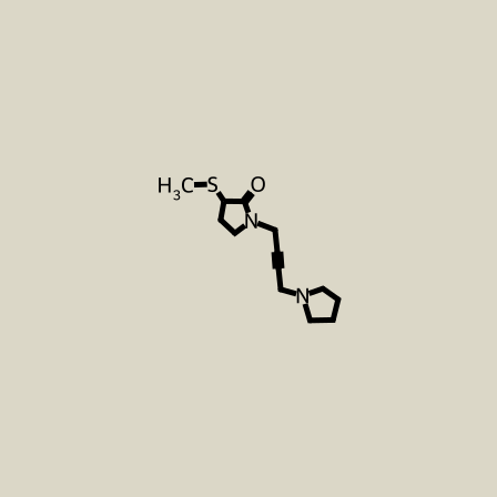 CSC1CCN(CC#CCN2CCCC2)C1=O